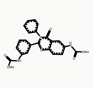 COC(=O)Nc1cccc(-c2nc3ccc(NC(=O)OC)cc3c(=O)n2-c2ccccc2)c1